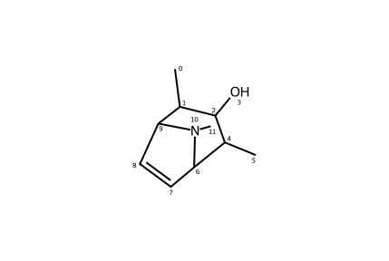 CC1C(O)C(C)C2C=CC1N2C